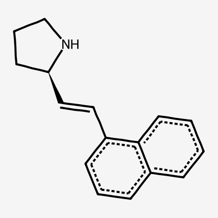 C(=C[C@H]1CCCN1)c1cccc2ccccc12